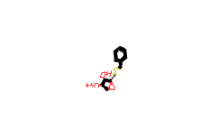 O[C@@H]1[C@H](O)CO[C@H]1CSCc1ccccc1